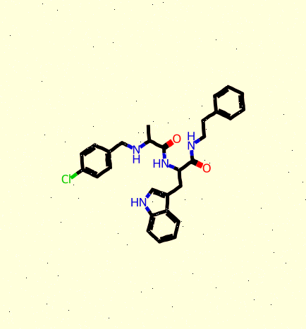 CC(NCc1ccc(Cl)cc1)C(=O)NC(Cc1c[nH]c2ccccc12)C(=O)NCCc1ccccc1